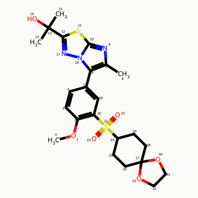 COc1ccc(-c2c(C)nc3sc(C(C)(C)O)nn23)cc1S(=O)(=O)C1CCC2(CC1)OCCO2